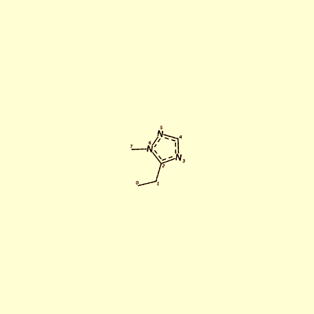 CCc1ncnn1C